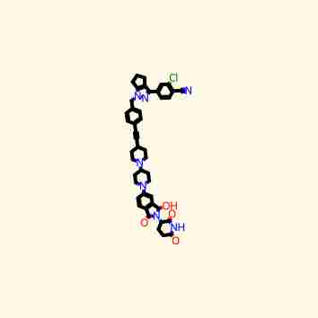 N#Cc1ccc(-c2nn(Cc3ccc(C#CC4CCN(C5CCN(c6ccc7c(c6)C(O)N(C6CCC(=O)NC6=O)C7=O)CC5)CC4)cc3)c3c2CCC3)cc1Cl